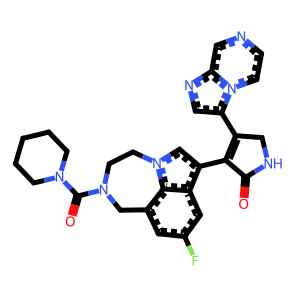 O=C1NCC(c2cnc3cnccn23)=C1c1cn2c3c(cc(F)cc13)CN(C(=O)N1CCCCC1)CC2